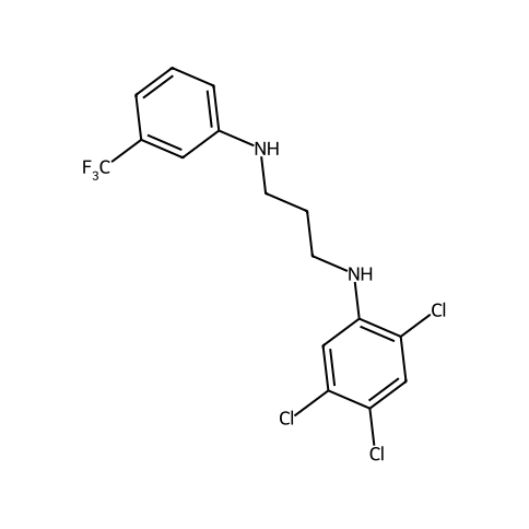 FC(F)(F)c1cccc(NCCCNc2cc(Cl)c(Cl)cc2Cl)c1